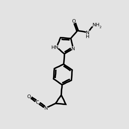 NNC(=O)c1c[nH]c(-c2ccc(C3CC3N=C=O)cc2)n1